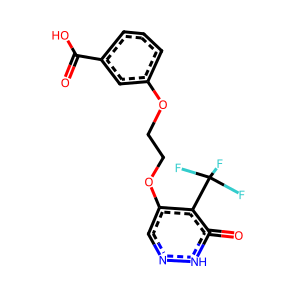 O=C(O)c1cccc(OCCOc2cn[nH]c(=O)c2C(F)(F)F)c1